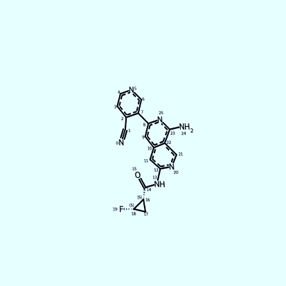 N#Cc1ccncc1-c1cc2cc(NC(=O)[C@@H]3C[C@@H]3F)ncc2c(N)n1